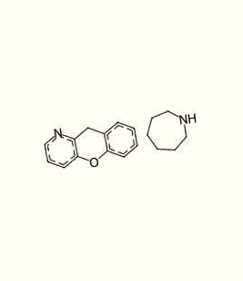 C1CCCNCC1.c1ccc2c(c1)Cc1ncccc1O2